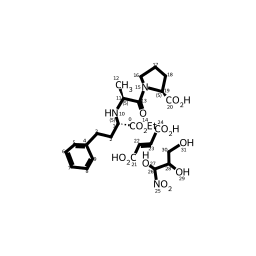 CCOC(=O)[C@H](CCc1ccccc1)N[C@@H](C)C(=O)N1CCC[C@H]1C(=O)O.O=C(O)C=CC(=O)O.O=[N+]([O-])C(O)C(O)CO